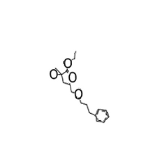 CCOC(=O)C1(CCCOCCCc2ccccc2)CO1